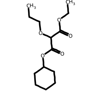 CCCOC(C(=O)OCC)C(=O)OC1CCCCC1